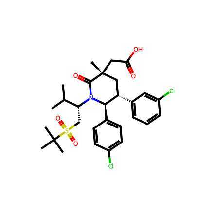 CC(C)[C@@H](CS(=O)(=O)C(C)(C)C)N1C(=O)[C@](C)(CC(=O)O)C[C@H](c2cccc(Cl)c2)[C@H]1c1ccc(Cl)cc1